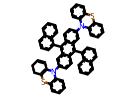 C1=CC2=C(CC1)Sc1ccccc1N2c1ccc2c(-c3cccc4ccccc34)c3cc(N4c5ccccc5Sc5ccccc54)ccc3c(-c3cccc4ccccc34)c2c1